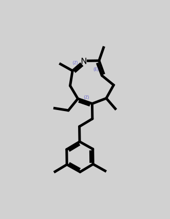 CC/C1=C(\CCc2cc(C)cc(C)c2)C(C)C/C=C(C)/N=C(/C)C1